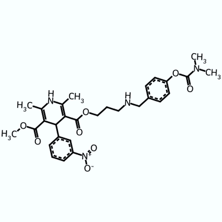 COC(=O)C1=C(C)NC(C)=C(C(=O)OCCCNCc2ccc(OC(=O)N(C)C)cc2)C1c1cccc([N+](=O)[O-])c1